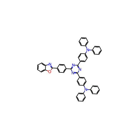 c1ccc(N(c2ccccc2)c2ccc(-c3nc(-c4ccc(-c5nc6ccccc6o5)cc4)nc(-c4ccc(N(c5ccccc5)c5ccccc5)cc4)n3)cc2)cc1